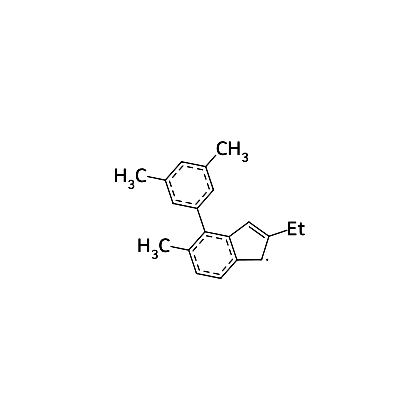 CCC1=Cc2c(ccc(C)c2-c2cc(C)cc(C)c2)[CH]1